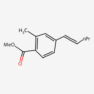 CCCC=Cc1ccc(C(=O)OC)c(C)c1